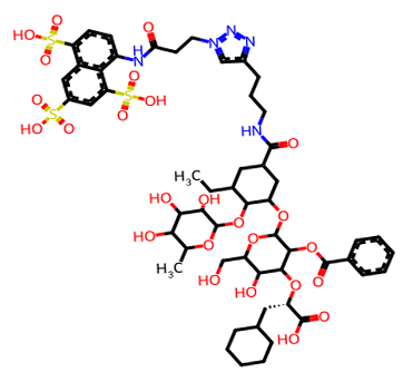 CCC1CC(C(=O)NCCCc2cn(CCC(=O)Nc3ccc(S(=O)(=O)O)c4cc(S(=O)(=O)O)cc(S(=O)(=O)O)c34)nn2)CC(OC2OC(CO)C(O)C(O[C@@H](CC3CCCCC3)C(=O)O)C2OC(=O)c2ccccc2)C1OC1OC(C)C(O)C(O)C1O